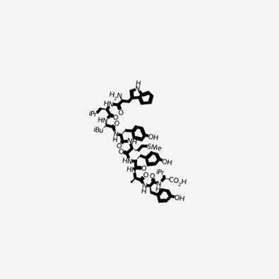 CC[C@@H](C)[C@@H](NC(=O)[C@@H](CC(C)C)NC(=O)[C@H](N)Cc1c[nH]c2ccccc12)C(=O)N[C@H](Cc1ccc(O)cc1)C(=O)N[C@H](CCSC)C(=O)N[C@H](Cc1ccc(O)cc1)C(=O)N[C@H](C)C(=O)N[C@H](Cc1ccc(O)cc1)C(=O)N[C@@H](C(=O)O)C(C)C